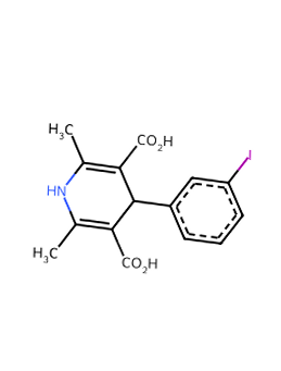 CC1=C(C(=O)O)C(c2cccc(I)c2)C(C(=O)O)=C(C)N1